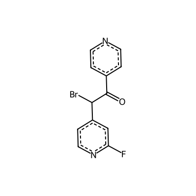 O=C(c1ccncc1)C(Br)c1ccnc(F)c1